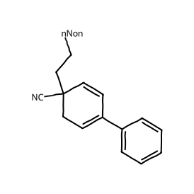 CCCCCCCCCCCC1(C#N)C=CC(c2ccccc2)=CC1